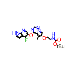 Cc1c(OCCNC(=O)OC(C)(C)C)cn2ncnc(Oc3cnc4[nH]ccc4c3F)c12